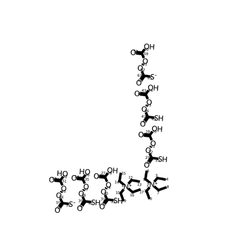 CC[N+](CC)(CC)CC.CC[N+](CC)(CC)CC.O=C(O)OOC(=O)S.O=C(O)OOC(=O)S.O=C(O)OOC(=O)S.O=C(O)OOC(=O)S.O=C(O)OOC(=O)[S-].O=C(O)OOC(=O)[S-]